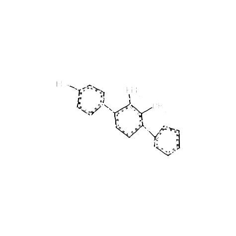 Pc1c(-c2ccccc2)ccc(-c2ccc(S)cc2)c1P